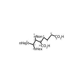 CCCCCCCCCC(C(CCCCCC)CCCCCCC)C(CCCC(=O)O)C(=O)O